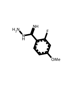 COc1ccc(C(=N)NN)c(F)c1